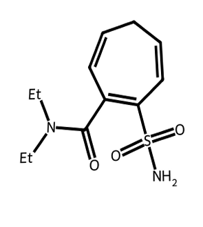 CCN(CC)C(=O)C1=C(S(N)(=O)=O)C=CCC=C1